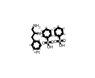 NCC(N)Cc1ccccc1.O=S(=O)(O)c1ccccc1.O=S(=O)(O)c1ccccc1.[Pt]